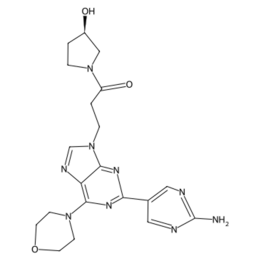 Nc1ncc(-c2nc(N3CCOCC3)c3ncn(CCC(=O)N4CC[C@@H](O)C4)c3n2)cn1